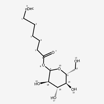 CCCCCCCCCCCCCCCC(=O)OC1O[C@H](CO)[C@@H](O)[C@H](O)[C@H]1O